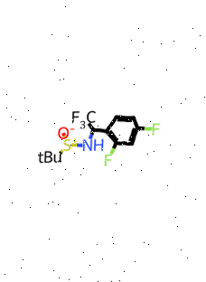 CC(C)(C)[S+]([O-])NC(c1ccc(F)cc1F)C(F)(F)F